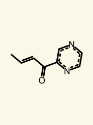 CC=CC(=O)c1cnccn1